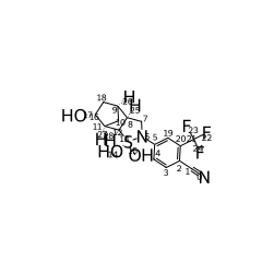 N#Cc1ccc(N2C[C@@H]3[C@H]4C[C@@H]([C@@H]3S2(O)O)[C@H](O)C4)cc1C(F)(F)F